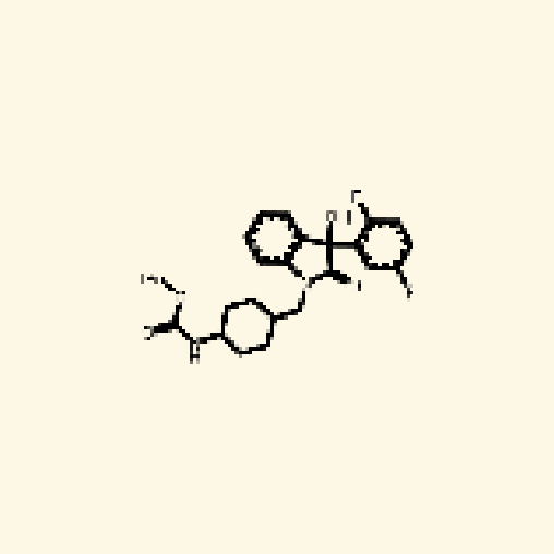 CC(C)(C)OC(=O)NC1CCC(CN2C(=O)C(O)(c3cc(F)ccc3F)c3ccccc32)CC1